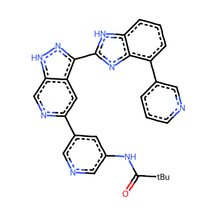 CC(C)(C)C(=O)Nc1cncc(-c2cc3c(-c4nc5c(-c6cccnc6)cccc5[nH]4)n[nH]c3cn2)c1